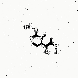 C=CC(/C(Br)=C(\C)SI)N(C)C(=O)OC(C)(C)C